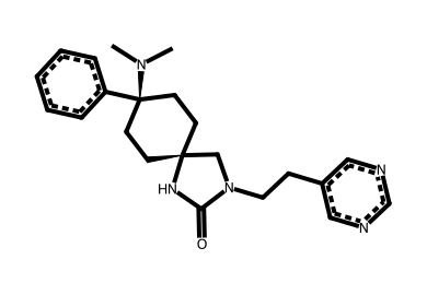 CN(C)[C@]1(c2ccccc2)CC[C@@]2(CC1)CN(CCc1cncnc1)C(=O)N2